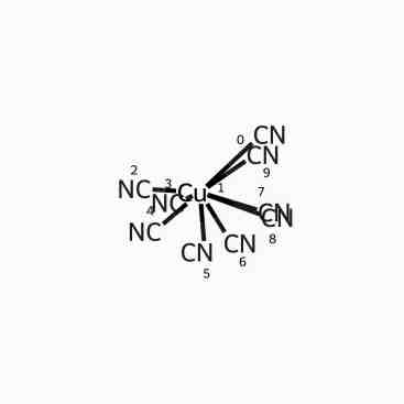 N#[C][Cu]([C]#N)([C]#N)([C]#N)([C]#N)([C]#N)([C]#N)([C]#N)[C]#N